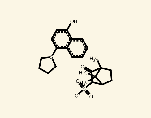 CC12CCC(C(S(=O)(=O)[O-])C1=O)C2(C)C.Oc1ccc([S+]2CCCC2)c2ccccc12